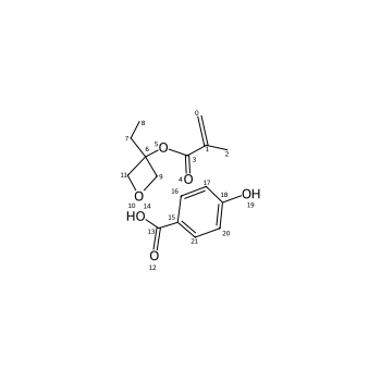 C=C(C)C(=O)OC1(CC)COC1.O=C(O)c1ccc(O)cc1